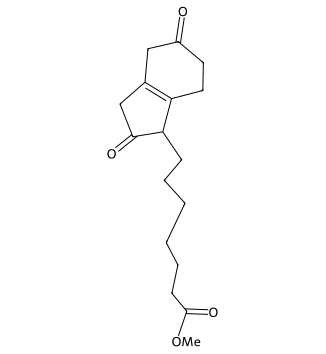 COC(=O)CCCCCCC1C(=O)CC2=C1CCC(=O)C2